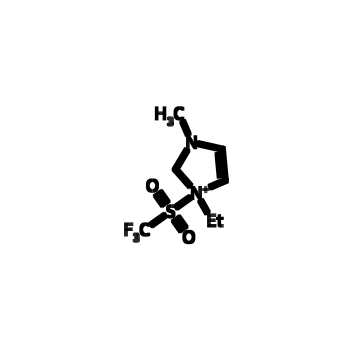 CC[N+]1(S(=O)(=O)C(F)(F)F)C=CN(C)C1